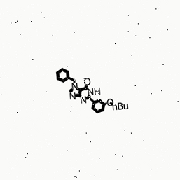 CCCCOc1cccc(-c2nc3ncn(Cc4ccccc4)c3c(=O)[nH]2)c1